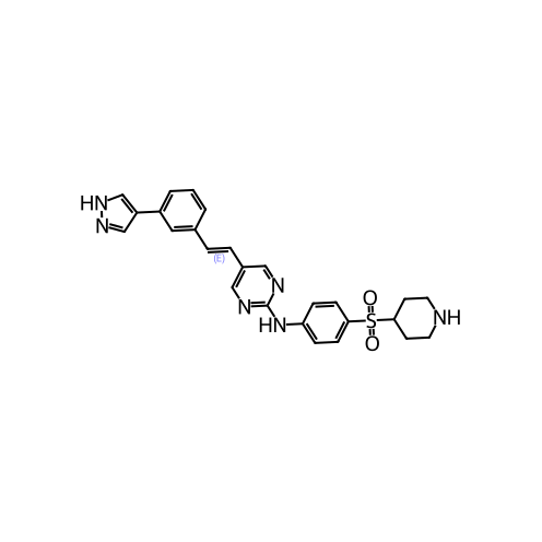 O=S(=O)(c1ccc(Nc2ncc(/C=C/c3cccc(-c4cn[nH]c4)c3)cn2)cc1)C1CCNCC1